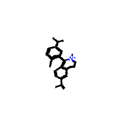 Cc1ccc(C(C)C)cc1-c1c2ccc(C(C)C)cc2cc[n+]1C